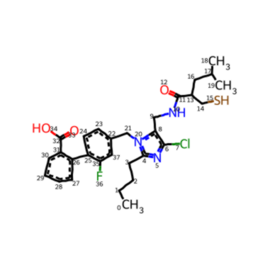 CCCCc1nc(Cl)c(CNC(=O)C(CS)CC(C)C)n1Cc1ccc(-c2ccccc2C(=O)O)c(F)c1